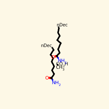 CC(=O)O.CCCCCCCCCCCCCCCCCC(N)=O.CCCCCCCCCCCCCCCCCC(N)=O